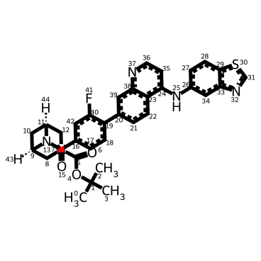 CC(C)(C)OC(=O)N1C[C@H]2C[C@@H](C1)N2C(=O)c1ccc(-c2ccc3c(Nc4ccc5scnc5c4)ccnc3c2)c(F)c1